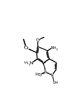 COc1c(N)c2c(c(N)c1OC)N(O)N(O)C=C2